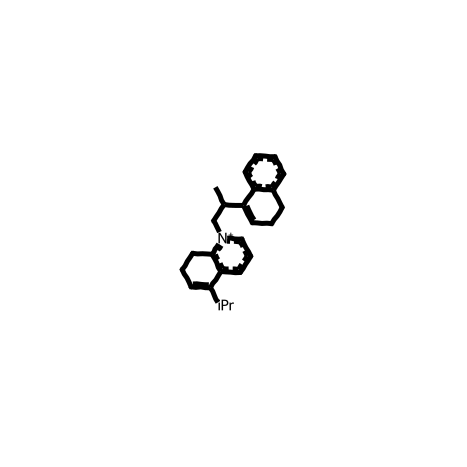 CC(C)C1=CCCc2c1ccc[n+]2CC(C)C1=CCCc2ccccc21